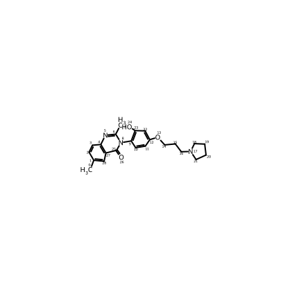 Cc1ccc2nc(C)n(-c3ccc(OCCCN4CCCC4)cc3O)c(=O)c2c1